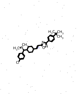 CN(C)C(c1ccc(Cl)cc1)C1CCC(/C=C/c2nc(-c3ccc(C(C)(C)C)cc3)no2)CC1